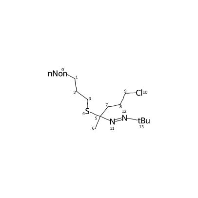 CCCCCCCCCCCCSC(C)(CCCCl)N=NC(C)(C)C